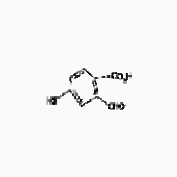 O=Cc1cc(S)ccc1C(=O)O